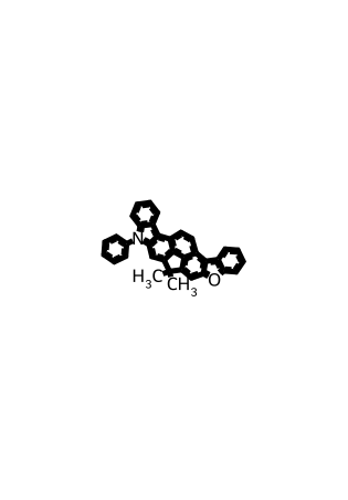 CC1(C)c2cc3oc4ccccc4c3c3ccc4c(c1cc1c4c4ccccc4n1-c1ccccc1)c23